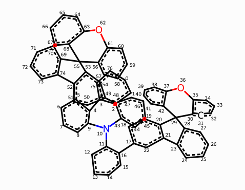 c1ccc(-c2ccccc2N(c2ccccc2-c2ccc3c(c2)-c2ccccc2C32c3ccccc3Oc3ccccc32)c2ccccc2-c2ccc3c(c2)C2(c4ccccc4Oc4ccccc42)c2ccccc2-3)cc1